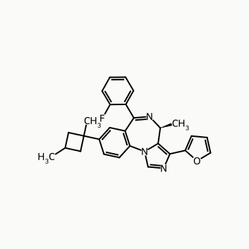 CC1CC(C)(c2ccc3c(c2)C(c2ccccc2F)=N[C@@H](C)c2c(-c4ccco4)ncn2-3)C1